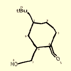 CC(C)(C)C1CCC(=O)C(CO)C1